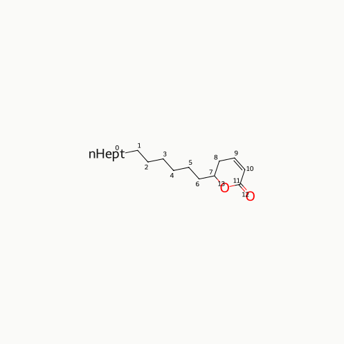 CCCCCCCCCCCCCC1CC=CC(=O)O1